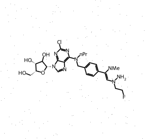 CCCN(Cc1ccc(/C(=C/N(N)CCF)NC)cc1)c1nc(Cl)nc2c1ncn2[C@@H]1O[C@H](CO)[C@H](O)C1O